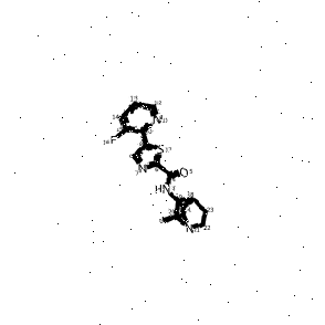 CC1C(NC(=O)c2ncc(-c3ncccc3F)s2)C2CCN1CC2